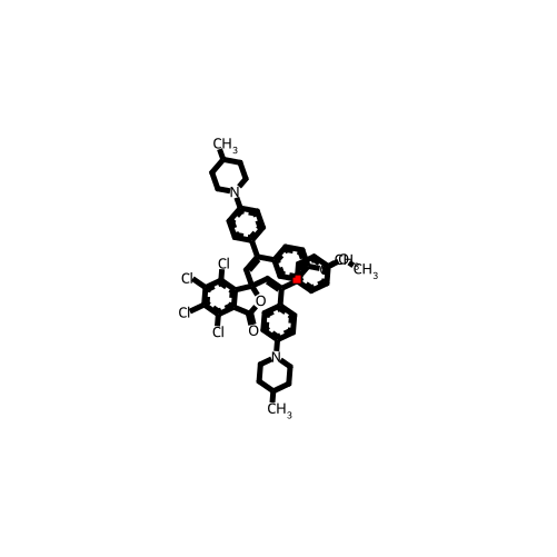 COc1ccc(C(=CC2(C=C(c3ccc(OC)cc3)c3ccc(N4CCC(C)CC4)cc3)OC(=O)c3c(Cl)c(Cl)c(Cl)c(Cl)c32)c2ccc(N3CCC(C)CC3)cc2)cc1